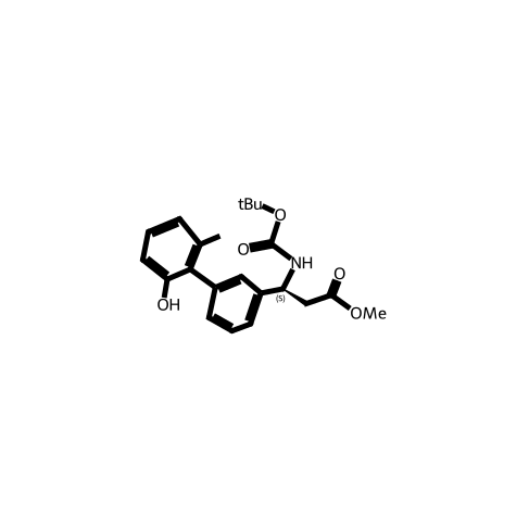 COC(=O)C[C@H](NC(=O)OC(C)(C)C)c1cccc(-c2c(C)cccc2O)c1